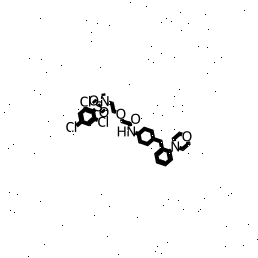 CN(CCOCC(=O)NC1CCC(Cc2ccccc2N2CCOCC2)CC1)S(=O)(=O)c1c(Cl)cc(Cl)cc1Cl